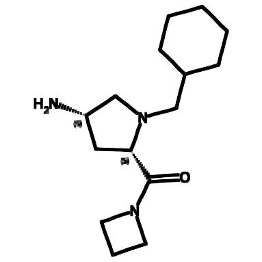 N[C@H]1C[C@@H](C(=O)N2CCC2)N(CC2CCCCC2)C1